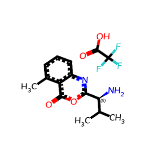 Cc1cccc2nc([C@@H](N)C(C)C)oc(=O)c12.O=C(O)C(F)(F)F